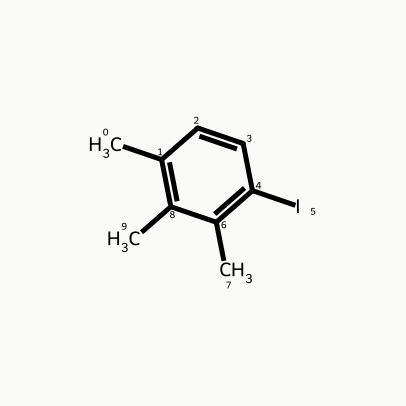 Cc1ccc(I)c(C)c1C